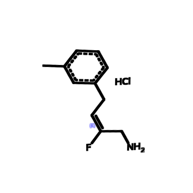 Cc1cccc(C/C=C(/F)CN)c1.Cl